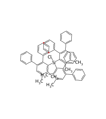 Cc1cc(-c2ccccc2)c(-c2ccccc2)c([Si](Cl)(c2c(C)c(C)cc(-c3ccccc3)c2-c2ccccc2)c2c(C)c(C)cc(-c3ccccc3)c2-c2ccccc2)c1C